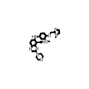 COc1cc(Nc2ccc3ncc(N4CCOCC4)nc3c2C#N)ccc1OCc1nccn1C